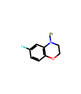 CC(C)N1CCOc2ccc(F)cc21